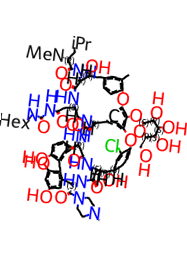 CCCCCCNC(=O)NC(=O)C[C@@H]1NC(=O)[C@H](NC(=O)[C@@H](CC(C)C)NC)[C@H](O)c2ccc(c(C)c2)Oc2cc3cc(c2O[C@@H]2O[C@H](CO)[C@@H](O)[C@H](O)[C@H]2O)OC2=CC[C@@H](C=C2Cl)[C@@H](O)[C@@H]2NC(=O)[C@H](NC(=O)[C@@H]3NC1=O)c1ccc(O)c(c1)-c1c(O)cc(O)cc1[C@@H](C(=O)N1CCN(C)CC1)NC2=O